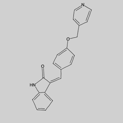 O=C1Nc2ccccc2C1=Cc1ccc(OCc2ccncc2)cc1